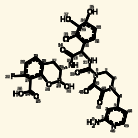 Nc1cc(CN2CCN(C(=O)NC(C(=O)N[C@H]3Cc4ccc(F)c(C(=O)O)c4OB3O)c3ccc(O)c(O)c3Cl)C(=O)C2=O)ccn1